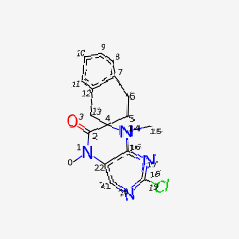 CN1C(=O)C2(CCc3ccccc3C2)N(C)c2nc(Cl)ncc21